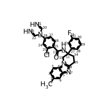 Cc1ccc2c(c1)nc1n2CC(NC(=O)c2ccc(N(C=N)C=N)cc2Cl)(c2cccc(F)c2)CC1